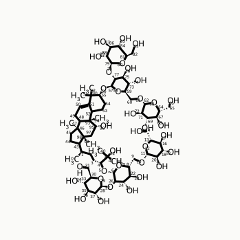 C[C@H](CC[C@@H](O[C@@H]1O[C@H](CO[C@@H]2O[C@H](CO)[C@@H](O)[C@H](O)[C@H]2O)[C@@H](O)[C@H](O)[C@H]1O[C@@H]1O[C@H](CO)[C@@H](O)[C@H](O)[C@H]1O)C(C)(C)O)C1CC[C@@]2(C)C3CC=C4C(CC[C@H](O[C@@H]5O[C@H](CO[C@@H]6O[C@H](CO)[C@@H](O)[C@H](O)[C@H]6O)[C@@H](O)[C@H](O)[C@H]5O[C@@H]5O[C@H](CO)[C@@H](O)[C@H](O)[C@H]5O)C4(C)C)[C@]3(C)[C@H](O)C[C@]12C